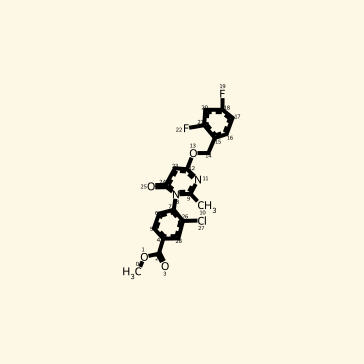 COC(=O)c1ccc(-n2c(C)nc(OCc3ccc(F)cc3F)cc2=O)c(Cl)c1